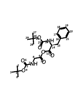 CC(C)(C)OC(=O)NCC(=O)OC(=O)[C@H](Cc1ccccc1)NC(=O)OC(C)(C)C